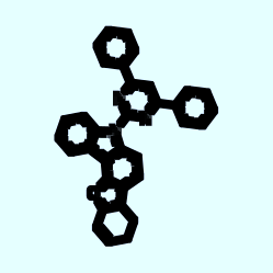 C1=Cc2oc3c(ccc4c3c3ccccc3n4-c3nc(-c4ccccc4)cc(-c4ccccc4)n3)c2CC1